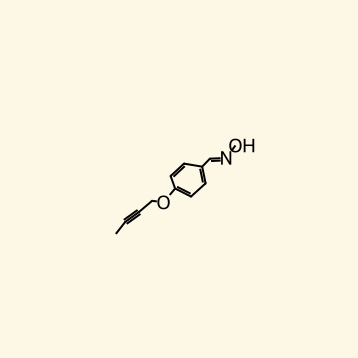 CC#CCOc1ccc(C=NO)cc1